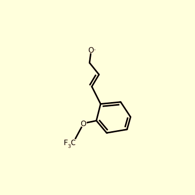 [O]C/C=C/c1ccccc1OC(F)(F)F